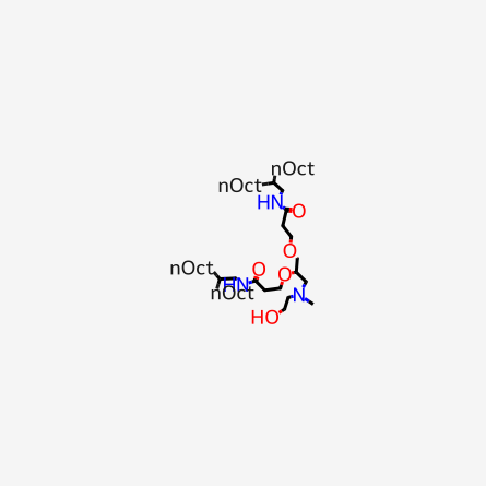 CCCCCCCCC(CCCCCCCC)CNC(=O)CCOCC(CN(C)CCO)OCCC(=O)NCC(CCCCCCCC)CCCCCCCC